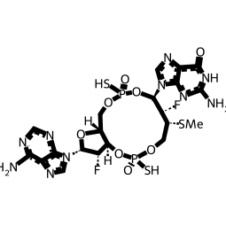 CS[C@@H]1COP(=O)(S)O[C@H]2[C@H](F)[C@H](n3cnc4c(N)ncnc43)O[C@@H]2COP(=O)(S)O[C@@H](n2cnc3c(=O)[nH]c(N)nc32)[C@@H]1F